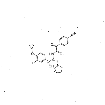 C#Cc1ccc(C(=O)C(=O)N[C@H](CN2CCCC2)[C@H](O)c2ccc(OC3CC3)c(F)c2)cc1